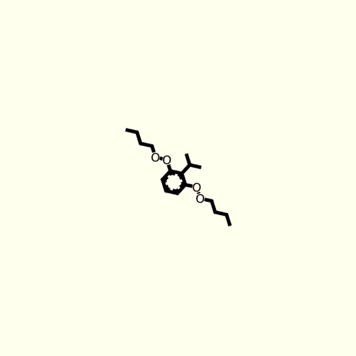 CCCCOOc1cccc(OOCCCC)c1C(C)C